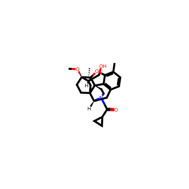 CO[C@]12CCC3(C[C@]1(C)CO)[C@H]1Cc4ccc(C)c5c4[C@@]3(CCN1C(=O)C1CC1)[C@H]2O5